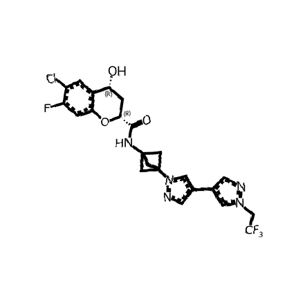 O=C(NC12CC(n3cc(-c4cnn(CC(F)(F)F)c4)cn3)(C1)C2)[C@H]1C[C@@H](O)c2cc(Cl)c(F)cc2O1